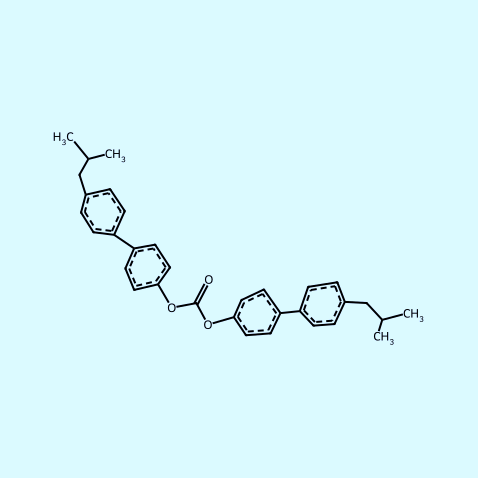 CC(C)Cc1ccc(-c2ccc(OC(=O)Oc3ccc(-c4ccc(CC(C)C)cc4)cc3)cc2)cc1